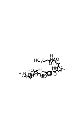 CC(C)CC(NC(=O)C(C)NC(=O)C(C)(C)NC(=O)CCC(=O)O)C(=O)Nc1ccc2c(c1)COP(=O)(OCC1OC(n3cnc(C(N)=O)n3)C(O)C1O)O2